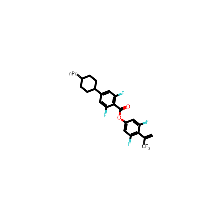 C=C(c1c(F)cc(OC(=O)c2c(F)cc(C3CCC(CCC)CC3)cc2F)cc1F)C(F)(F)F